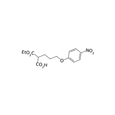 CCOC(=O)C(CCCOc1ccc([N+](=O)[O-])cc1)C(=O)O